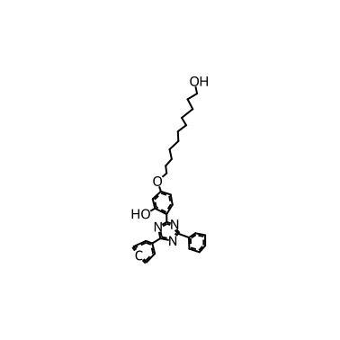 OCCCCCCCCCCCOc1ccc(-c2nc(-c3ccccc3)nc(-c3ccccc3)n2)c(O)c1